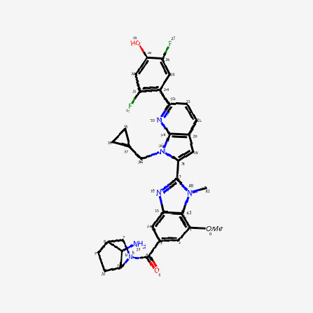 COc1cc(C(=O)N2CC3CCC2C3N)cc2nc(-c3cc4ccc(-c5cc(F)c(O)cc5F)nc4n3CC3CC3)n(C)c12